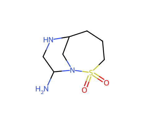 NC1CNC2CCCS(=O)(=O)N1C2